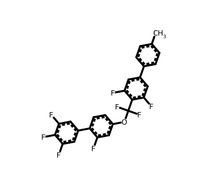 Cc1ccc(-c2cc(F)c(C(F)(F)Oc3ccc(-c4cc(F)c(F)c(F)c4)c(F)c3)c(F)c2)cc1